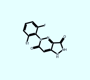 CCc1cccc(F)c1-n1nc2c(=O)[nH][nH]c2cc1=O